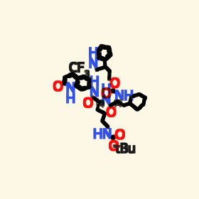 CC(C)(C)OC(=O)NCCCC[C@H](NC(=O)[C@H](CC1CCCCC1)NC(=O)OCCC1CNc2ccccc21)C(=O)Nc1ccc2c(C(F)(F)F)cc(=O)[nH]c2c1